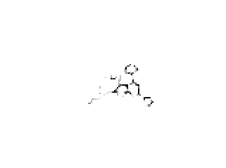 CCCCSc1sc2nc(-c3cccs3)cc(-c3ccccc3)c2c1NC(C)=O